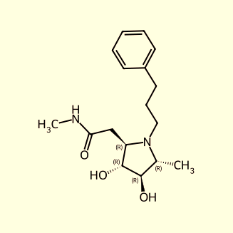 CNC(=O)C[C@@H]1[C@@H](O)[C@H](O)[C@@H](C)N1CCCc1ccccc1